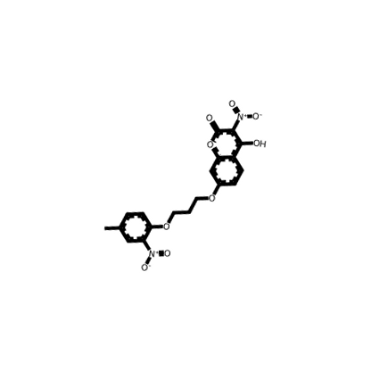 Cc1ccc(OCCCOc2ccc3c(O)c([N+](=O)[O-])c(=O)oc3c2)c([N+](=O)[O-])c1